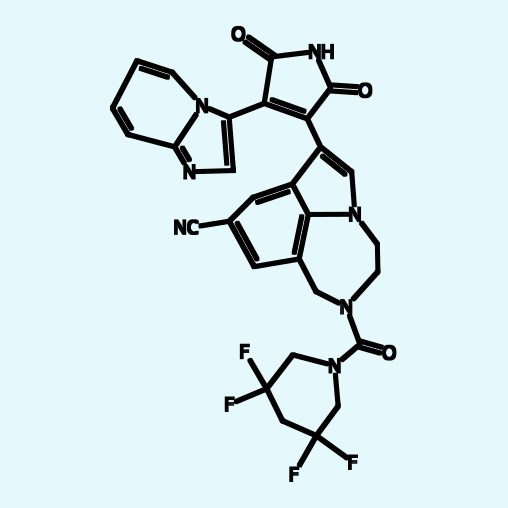 N#Cc1cc2c3c(c1)c(C1=C(c4cnc5ccccn45)C(=O)NC1=O)cn3CCN(C(=O)N1CC(F)(F)CC(F)(F)C1)C2